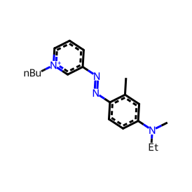 CCCC[n+]1cccc(N=Nc2ccc(N(C)CC)cc2C)c1